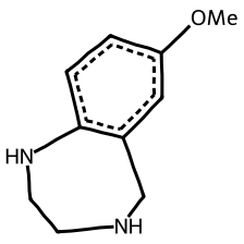 COc1ccc2c(c1)CNCCN2